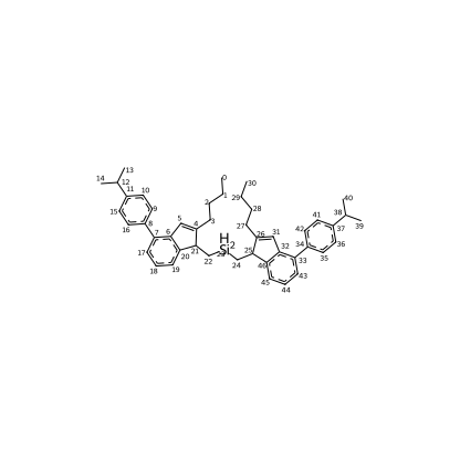 CCCCC1=Cc2c(-c3ccc(C(C)C)cc3)cccc2C1C[SiH2]CC1C(CCCC)=Cc2c(-c3ccc(C(C)C)cc3)cccc21